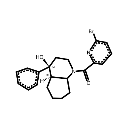 O=C(c1cccc(Br)n1)N1CC[C@@](O)(c2ccccc2)[C@@H]2CCCCC21